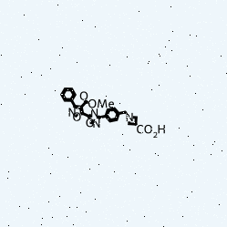 COC(=O)c1c(-c2ccccc2)noc1-c1nc(-c2ccc(CN3CC(C(=O)O)C3)cc2)no1